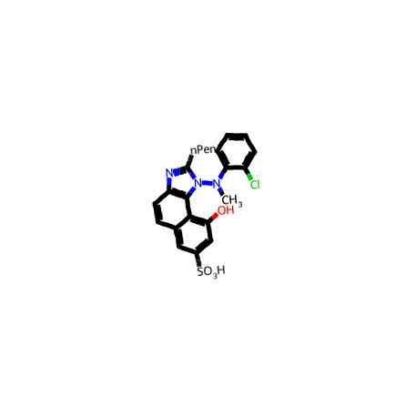 CCCCCc1nc2ccc3cc(S(=O)(=O)O)cc(O)c3c2n1N(C)c1ccccc1Cl